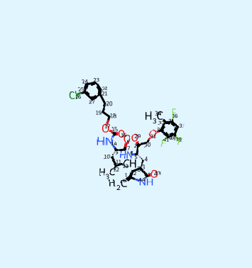 C=C1C[C@@H](C[C@H](NC(=O)[C@H](CC(C)C)NC(=O)OCCCc2cccc(Cl)c2)C(=O)COc2c(C)c(F)cc(F)c2F)C(=O)N1